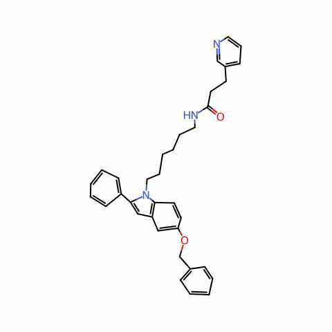 O=C(CCc1cccnc1)NCCCCCCn1c(-c2ccccc2)cc2cc(OCc3ccccc3)ccc21